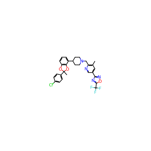 Cc1cc(-c2noc(C(F)(F)F)n2)cnc1CN1CCC(c2cccc3c2OC(C)(c2ccc(Cl)cc2)O3)CC1